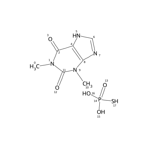 Cn1c(=O)c2[nH]cnc2n(C)c1=O.O=P(O)(O)S